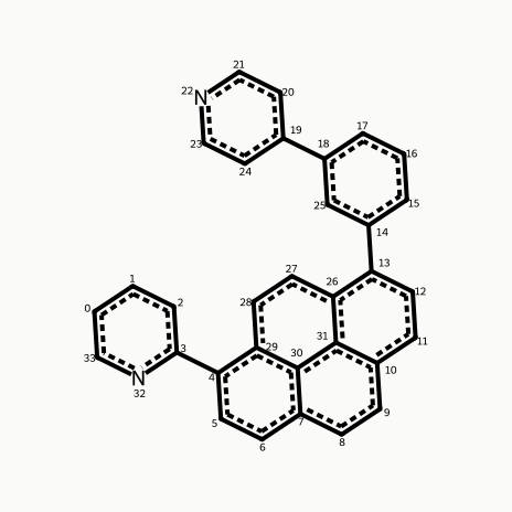 c1ccc(-c2ccc3ccc4ccc(-c5cccc(-c6ccncc6)c5)c5ccc2c3c45)nc1